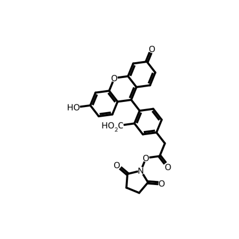 O=C(Cc1ccc(-c2c3ccc(=O)cc-3oc3cc(O)ccc23)c(C(=O)O)c1)ON1C(=O)CCC1=O